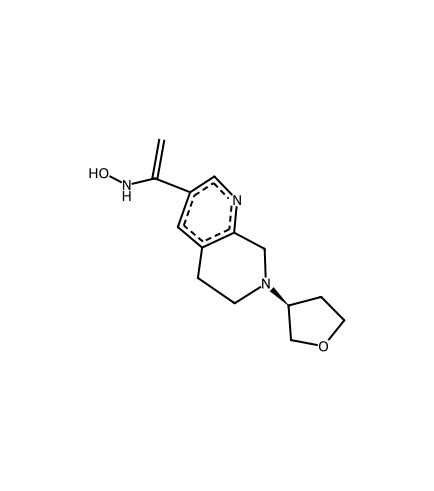 C=C(NO)c1cnc2c(c1)CCN([C@H]1CCOC1)C2